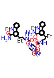 CCC(CCNC(=O)OC1CN(OC(=O)NCCC(CC)c2cc(C(N)=O)c3c(c2)c2ccccc2n3CC)CCN1S(=O)(=O)N(C)C)c1cc(C(N)=O)c2c(c1)c1ccccc1n2CC